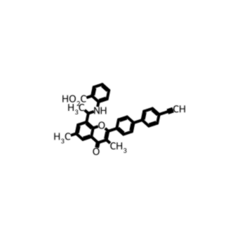 C#Cc1ccc(-c2ccc(-c3oc4c(C(C)Nc5ccccc5C(=O)O)cc(C)cc4c(=O)c3C)cc2)cc1